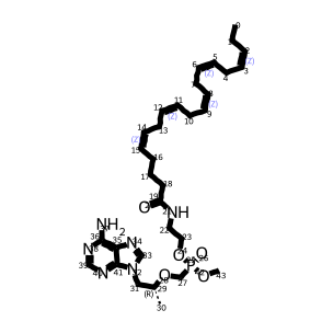 CC/C=C\C/C=C\C/C=C\C/C=C\C/C=C\CCCC(=O)NCCOP(=O)(CO[C@H](C)Cn1cnc2c(N)ncnc21)OC